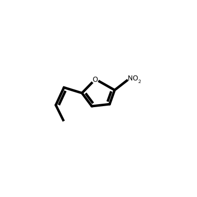 C/C=C\c1ccc([N+](=O)[O-])o1